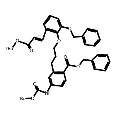 CC(C)(C)OC(=O)/C=C/c1cccc(OCc2ccccc2)c1OCCCc1cc(NC(=O)OC(C)(C)C)ccc1C(=O)OCc1ccccc1